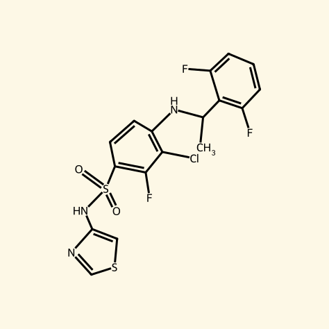 CC(Nc1ccc(S(=O)(=O)Nc2cscn2)c(F)c1Cl)c1c(F)cccc1F